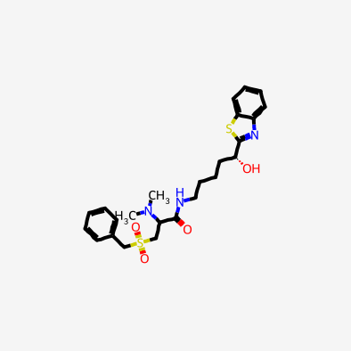 CN(C)C(CS(=O)(=O)Cc1ccccc1)C(=O)NCCCC[C@@H](O)c1nc2ccccc2s1